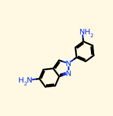 Nc1cccc(-n2cc3cc(N)ccc3n2)c1